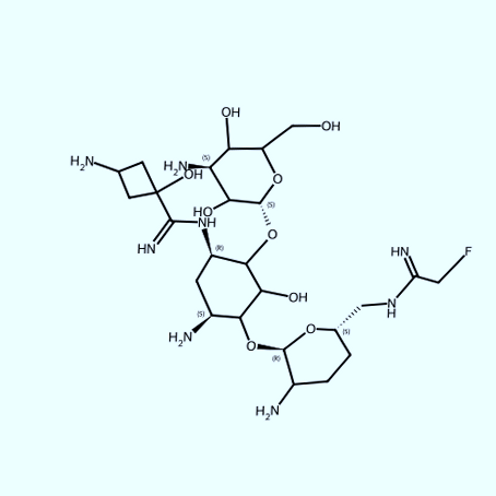 N=C(CF)NC[C@@H]1CCC(N)[C@@H](OC2C(O)C(O[C@H]3OC(CO)C(O)[C@H](N)C3O)[C@H](NC(=N)C3(O)CC(N)C3)C[C@@H]2N)O1